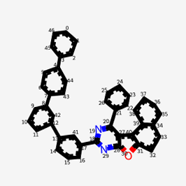 c1ccc(-c2ccc(-c3cccc(-c4cccc(-c5nc(-c6ccccc6)c6c(n5)oc5ccc7ccccc7c56)c4)c3)cc2)cc1